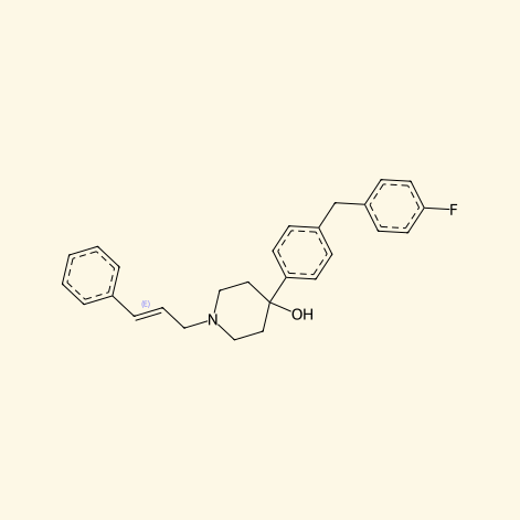 OC1(c2ccc(Cc3ccc(F)cc3)cc2)CCN(C/C=C/c2ccccc2)CC1